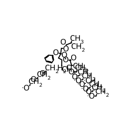 C=C(C)C(=O)OCC(CCCC)(OOC(=O)C(=C)C)Oc1ccccc1.[CH2]C[O].[CH2]C[O].[CH2]C[O].[CH2]C[O].[CH2]C[O].[CH2]C[O].[CH2]C[O].[CH2]C[O].[CH2]C[O].[CH2]C[O]